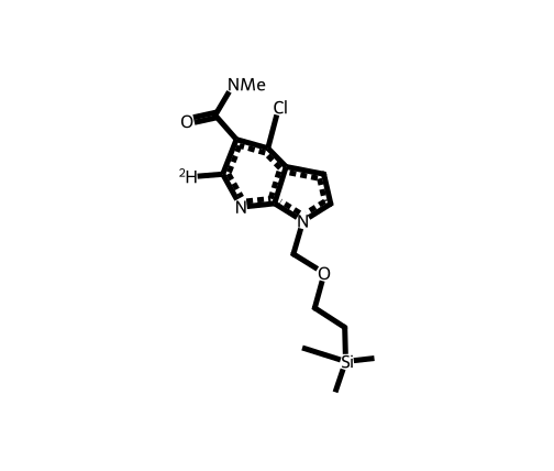 [2H]c1nc2c(ccn2COCC[Si](C)(C)C)c(Cl)c1C(=O)NC